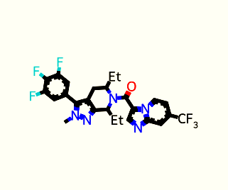 CCC1Cc2c(nn(C)c2-c2cc(F)c(F)c(F)c2)C(CC)N1C(=O)c1cnc2cc(C(F)(F)F)ccn12